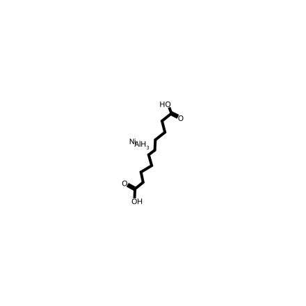 O=C(O)CCCCCCCCC(=O)O.[AlH3].[Ni]